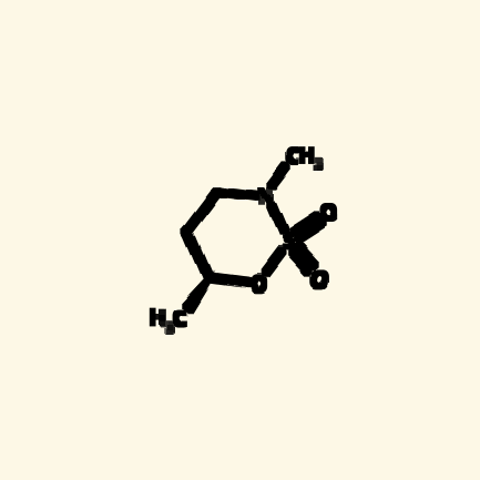 C[C@H]1CCN(C)S(=O)(=O)O1